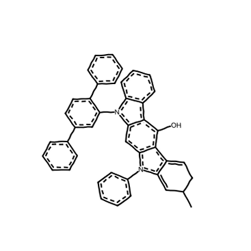 CC1C=c2c(c3c(O)c4c5ccccc5n(-c5cc(-c6ccccc6)ccc5-c5ccccc5)c4cc3n2-c2ccccc2)=CC1